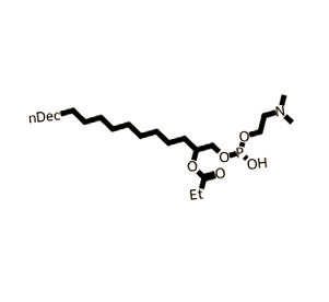 CCCCCCCCCCCCCCCCCCCC(COP(O)OCCN(C)C)OC(=O)CC